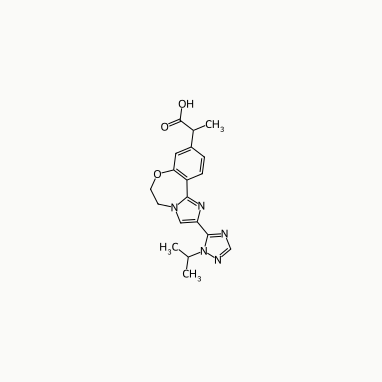 CC(C(=O)O)c1ccc2c(c1)OCCn1cc(-c3ncnn3C(C)C)nc1-2